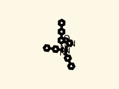 c1ccc(-c2ccc(-c3nc(-c4ccc(-c5ccccc5)cc4)nc(-c4cncc5oc6c(-c7ccc(-c8ccccc8)cc7)cccc6c45)n3)cc2)cc1